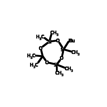 CCC(C)[Si]1(C)O[Si](C)(C)OC(C)(C)O[Si](C)(C)O1